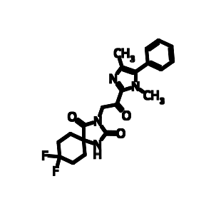 Cc1nc(C(=O)CN2C(=O)NC3(CCC(F)(F)CC3)C2=O)n(C)c1-c1ccccc1